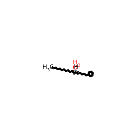 CCCCCCCCCCC[CH2][SbH][CH2]CCCCc1ccccc1.O